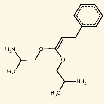 CC(N)COC(=CCc1ccccc1)OCC(C)N